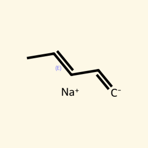 [CH-]=C/C=C/C.[Na+]